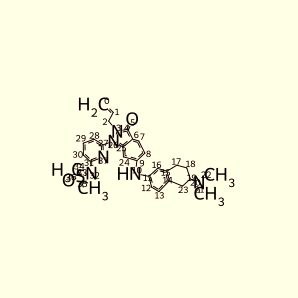 C=CCn1c(=O)c2ccc(Nc3ccc4c(c3)CCC(N(C)C)C4)cc2n1-c1cccc(N=S(C)(C)=O)n1